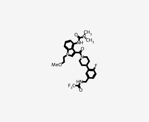 COCCn1cc(C(=O)N2CCC(c3cc(CNC(=O)C(F)(F)F)ccc3F)CC2)c2c(NC(=O)N(C)C)cccc21